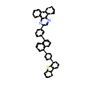 c1cc(-c2cnc3c4ccccc4c4ccccc4c3n2)cc(-c2cccc3c(-c4ccc(-c5cccc6c5sc5ccccc56)cc4)cccc23)c1